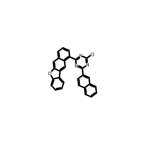 Clc1nc(-c2ccc3ccccc3c2)nc(-c2cccc3cc4oc5ccccc5c4cc23)n1